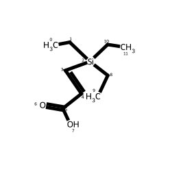 CC[Si](C=CC(=O)O)(CC)CC